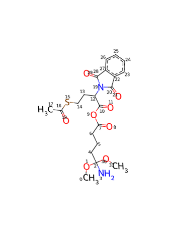 COC(N)(CCCC(=O)OC(=O)C(CCSC(C)=O)N1C(=O)c2ccccc2C1=O)OC